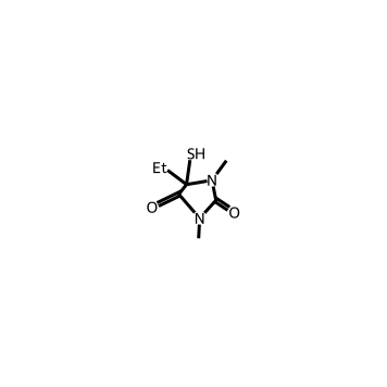 CCC1(S)C(=O)N(C)C(=O)N1C